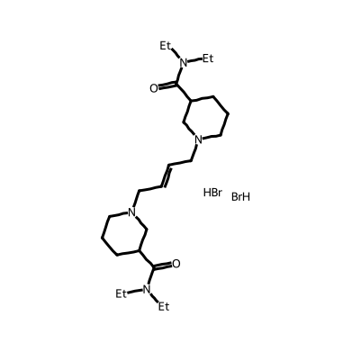 Br.Br.CCN(CC)C(=O)C1CCCN(CC=CCN2CCCC(C(=O)N(CC)CC)C2)C1